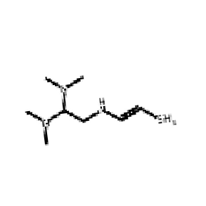 CN(C)C(CNC=C[SiH3])N(C)C